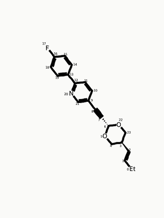 CCC=C[C@H]1CO[C@H](C#Cc2ccc(-c3ccc(F)cc3)nc2)OC1